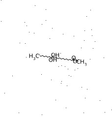 CCCCCCCCC(O)C(O)CCCCCCCCCCCC(=O)OCC